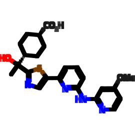 COc1ccnc(Nc2cccc(-c3cnc(C(C)(O)[C@H]4CC[C@H](C(=O)O)CC4)s3)n2)c1